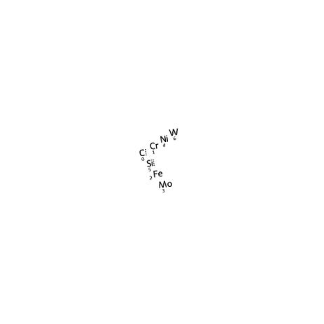 [C].[Cr].[Fe].[Mo].[Ni].[Si].[W]